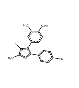 COc1ccc(-n2c(-c3ccc(C#N)cc3)nc(C)c2F)cc1C